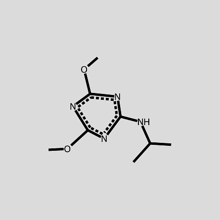 COc1nc(NC(C)C)nc(OC)n1